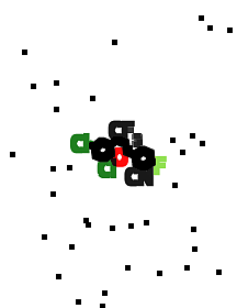 N#Cc1cc(C(=O)C=C(c2cc(Cl)cc(Cl)c2)C(F)(F)F)ccc1F